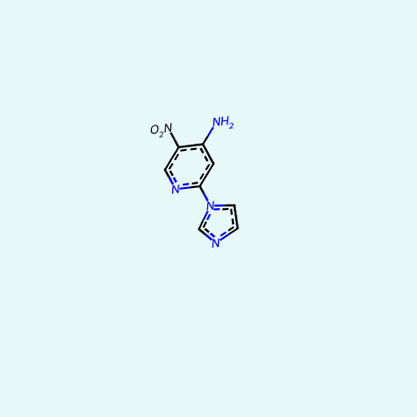 Nc1cc(-n2ccnc2)ncc1[N+](=O)[O-]